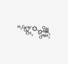 C[C@@H]1CN(Cc2ccc(-c3cc(NC(N)=O)c(C(N)=O)s3)cc2)C[C@H](C)O1